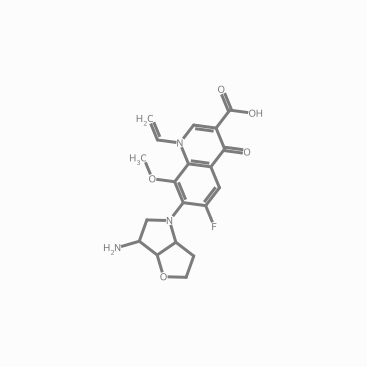 C=Cn1cc(C(=O)O)c(=O)c2cc(F)c(N3CC(N)C4OCCC43)c(OC)c21